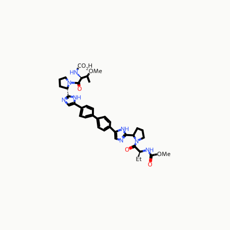 CC[C@H](NC(=O)OC)C(=O)N1CCCC1c1ncc(-c2ccc(-c3ccc(-c4cnc([C@@H]5CCCN5C(=O)[C@@H](NC(=O)O)C(C)OC)[nH]4)cc3)cc2)[nH]1